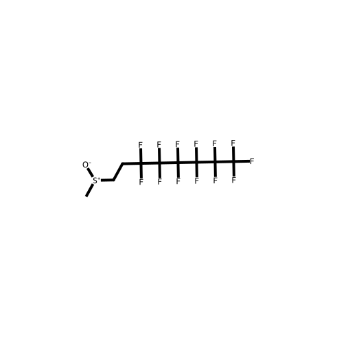 C[S+]([O-])CCC(F)(F)C(F)(F)C(F)(F)C(F)(F)C(F)(F)C(F)(F)F